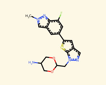 Cn1cc2cc(-c3cc4cnn(CC5OCC(N)CO5)c4s3)cc(F)c2n1